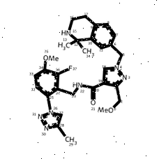 COCc1nn(Cc2ccc3c(c2)C(C)(C)NCC3)cc1C(=O)NCc1c(-n2cc(C)nn2)ccc(OC)c1F